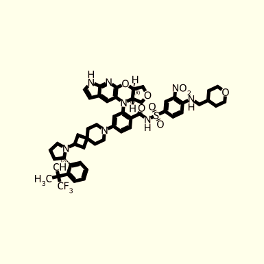 CC(C)(c1ccccc1[C@@H]1CCCN1C1CC2(CCN(c3ccc(C(=O)NS(=O)(=O)c4ccc(NCC5CCOCC5)c([N+](=O)[O-])c4)c(N4c5cc6cc[nH]c6nc5O[C@H]5COC[C@@H]54)c3)CC2)C1)C(F)(F)F